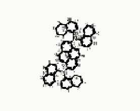 c1cc2c(c(N(c3cccc4ccccc34)c3ccc4ccc5c(N(c6cccc7c6CCCC7)c6cccc7ccccc67)ccc6ccc3c4c65)c1)CCCC2